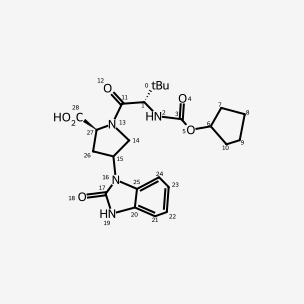 CC(C)(C)[C@H](NC(=O)OC1CCCC1)C(=O)N1CC(n2c(=O)[nH]c3ccccc32)C[C@H]1C(=O)O